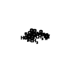 COCCC(C)N(CCC(=O)OCc1ccccc1)C(=O)c1cc2cc(F)c(O)c(F)c2oc1=O